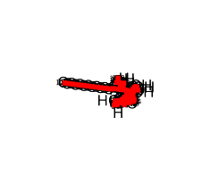 CC[C@H](C)[C@@H]([C@@H](CC(=O)N1CCC[C@H]1[C@H](OC)[C@@H](C)C(=O)N[C@H](C)[C@@H](O)c1ccccc1)OC)N(C)C(=O)[C@@H](NC(=O)[C@H](C(C)C)N(C)C(=O)OCc1ccc(O[C@@H]2O[C@H](C(=O)O)[C@@H](O)[C@H](O)[C@H]2O)c(NC(=O)CCNC(=O)[C@H](CCCCNC(=O)CCOCCOCCOCCOCCOCCOCCOCCOCCOCCOCCOCCOC)NC(=O)C(CNC(=O)OC(C)(C)C)N2C(=O)C=CC2=O)c1)C(C)C